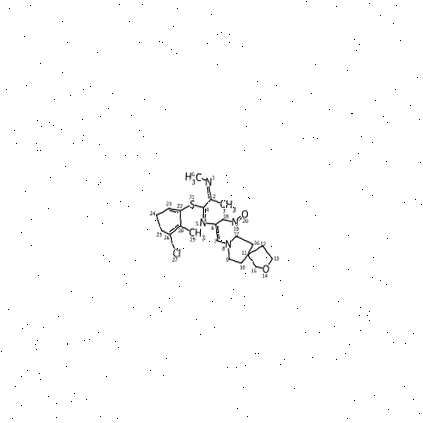 C\N=C(C)/C(=N\C(=C\N1CCC2(CCOC2)CC1)CN=O)SC1=CCCC(Cl)=C1C